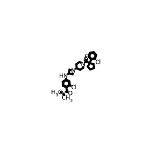 CN(C)C(=O)c1ccc(NC2CN(C3CCN(C(=O)C4(c5c(F)cccc5Cl)CCCC4)CC3)C2)cc1Cl